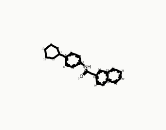 O=C(Nc1ccc(C2CCCCC2)cc1)c1ccc2ccccc2c1